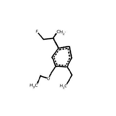 [CH2]C(CF)c1ccc(CC)c(OCC)c1